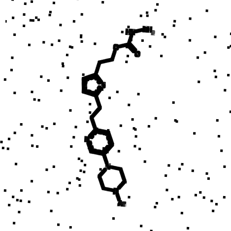 CC(=O)N1CCN(c2ccc(CCc3ccc(CCOC(=O)NN)s3)nc2)CC1